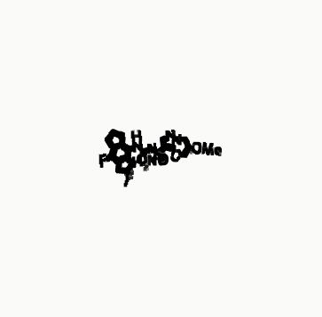 CO[C@@H]1COc2c([S@](N)(=O)=NC(=O)Nc3c4c(c(F)c5c3C[C@@H](F)C5)CCC4)cnn2C1